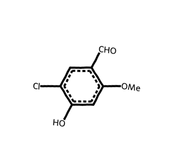 COc1cc(O)c(Cl)cc1C=O